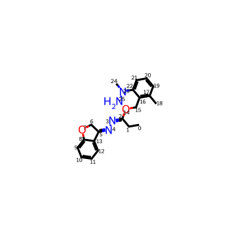 CC/C(=N\N=C1COc2ccccc21)OCc1c(C)cccc1N(C)N